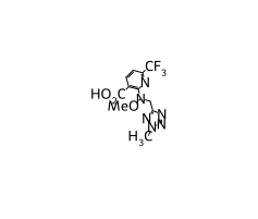 CON(Cc1nnn(C)n1)c1nc(C(F)(F)F)ccc1C(=O)O